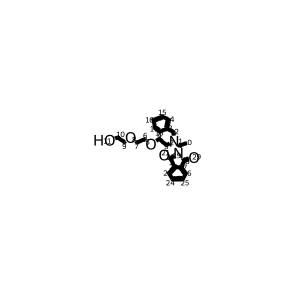 CC(N(CCOCCOCCO)Cc1ccccc1)N1C(=O)c2ccccc2C1=O